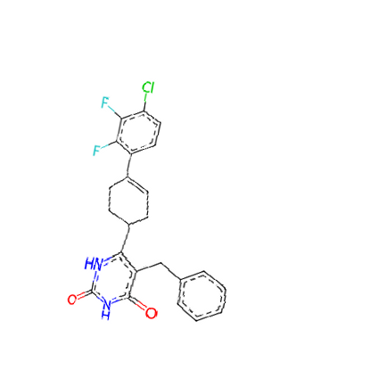 O=c1[nH]c(C2CC=C(c3ccc(Cl)c(F)c3F)CC2)c(Cc2ccccc2)c(=O)[nH]1